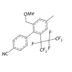 COCc1[c]c(C)cc(C(F)(C(F)(F)F)C(F)(F)C(F)(F)F)c1-c1ccc(C#N)cc1